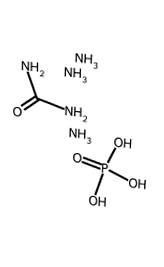 N.N.N.NC(N)=O.O=P(O)(O)O